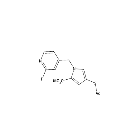 CCOC(=O)c1cc(SC(C)=O)cn1Cc1ccnc(F)c1